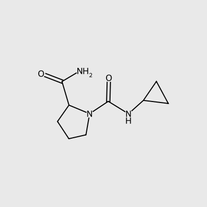 NC(=O)C1CCCN1C(=O)NC1CC1